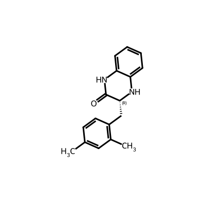 Cc1ccc(C[C@H]2Nc3ccccc3NC2=O)c(C)c1